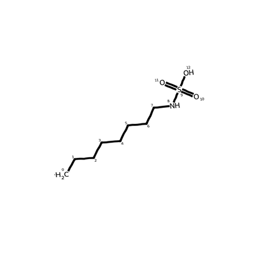 [CH2]CCCCCCCNS(=O)(=O)O